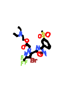 CCN(CC)CCOC(=O)Cn1nc(C(F)(F)F)c(Br)c1-c1nc(-c2cccc(S(C)(=O)=O)c2)no1